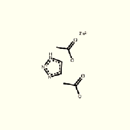 CC(=O)[O-].CC(=O)[O-].[Zn+2].c1c[nH]nn1